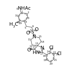 CC(=O)Nc1ccc(CCS(=O)(=O)N2CCC3(CC2)N=C(c2cccc(Cl)c2Cl)NC3=O)c(C)c1